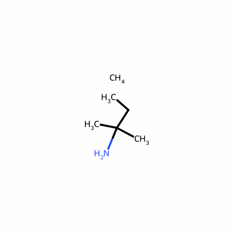 C.CCC(C)(C)N